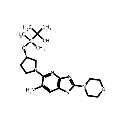 CC(C)(C)[Si](C)(C)O[C@@H]1CCN(c2nc3nc(N4CCOCC4)sc3cc2N)C1